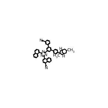 C[C@H]1C[C@@H]2C[C@H](C1)CC(C)(c1ccc(-c3cc(-c4cccc(C#N)c4)cc(-c4nc(-c5cccc6ccccc56)nc(-c5ccc(C#N)c6ccccc56)n4)c3)cc1)C2